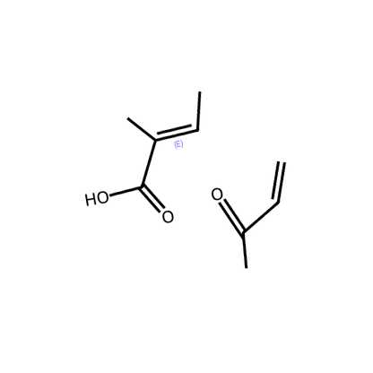 C/C=C(\C)C(=O)O.C=CC(C)=O